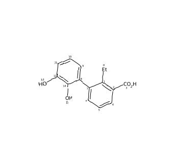 CCc1c(C(=O)O)cccc1-c1cccc(O)c1O